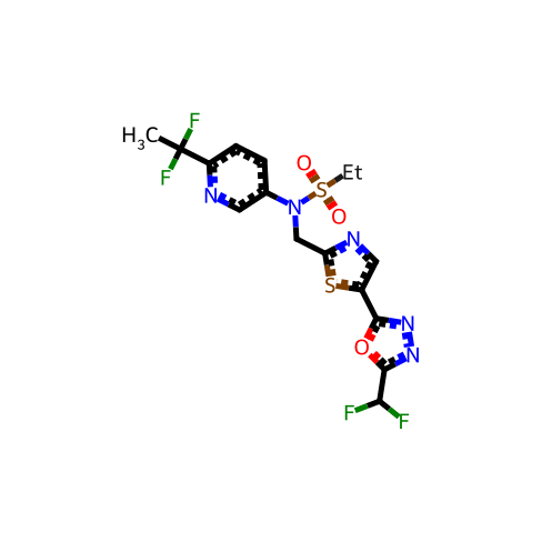 CCS(=O)(=O)N(Cc1ncc(-c2nnc(C(F)F)o2)s1)c1ccc(C(C)(F)F)nc1